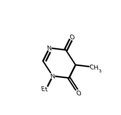 CCN1C=NC(=O)C(C)C1=O